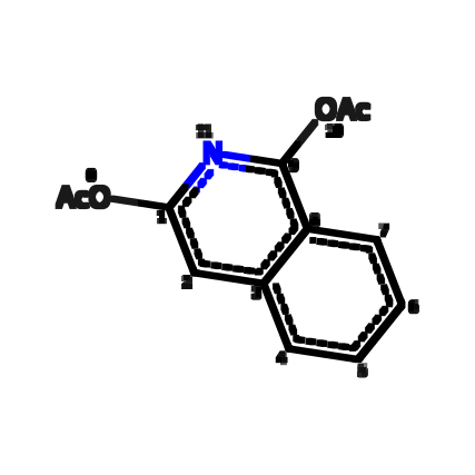 CC(=O)Oc1cc2ccccc2c(OC(C)=O)n1